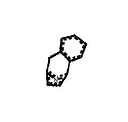 c1ccc2c(c1)Cc1ccc-2[nH]1